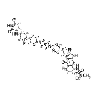 CCN(C)S(=O)(=O)Nc1ccc(F)c(C(=O)c2c[nH]c3ncc(-c4cnc(N5CC6(CC(C7CCN(c8ccc(NC9CCC(=O)NC9=O)cc8F)CC7)C6)C5)nc4)cc23)c1F